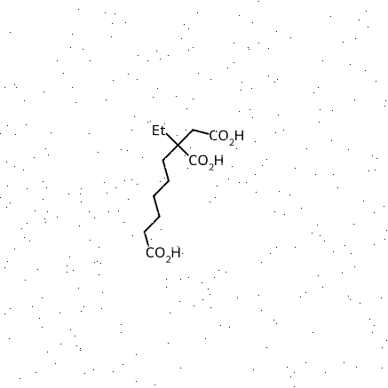 CCC(CCCCCC(=O)O)(CC(=O)O)C(=O)O